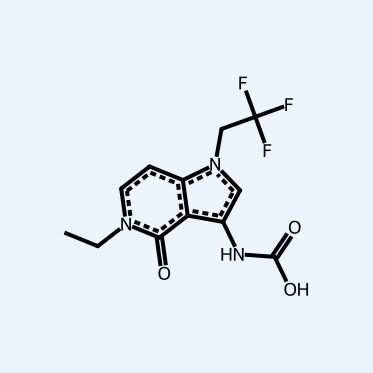 CCn1ccc2c(c(NC(=O)O)cn2CC(F)(F)F)c1=O